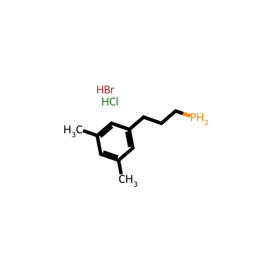 Br.Cc1cc(C)cc(CCCP)c1.Cl